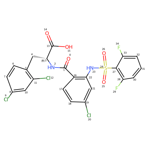 O=C(N[C@H](Cc1ccc(Cl)cc1Cl)C(=O)O)c1ccc(Cl)cc1NS(=O)(=O)c1c(F)cccc1F